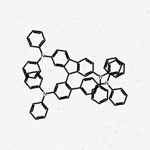 c1ccc(N(c2ccccc2)c2ccc(-c3ccc(N(c4ccccc4)c4ccccc4)cc3C3c4cc(N(c5ccccc5)c5ccccc5)ccc4-c4ccc(N(c5ccccc5)c5ccccc5)cc43)cc2)cc1